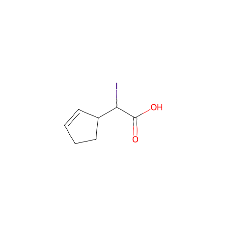 O=C(O)C(I)C1C=CCC1